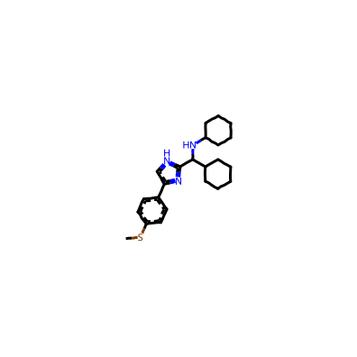 CSc1ccc(-c2c[nH]c(C(NC3CCCCC3)C3CCCCC3)n2)cc1